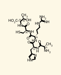 C[C@H](N)C(=O)N[C@@H](Cc1c[nH]cn1)C(=O)N[C@@H](CCCNC(=N)N)C(=O)N[C@@H](CS)C(=O)N[C@H](C(=O)O)[C@@H](C)O